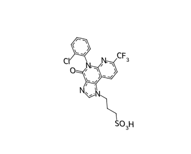 O=c1c2ncn(CCCS(=O)(=O)O)c2c2ccc(C(F)(F)F)nc2n1-c1ccccc1Cl